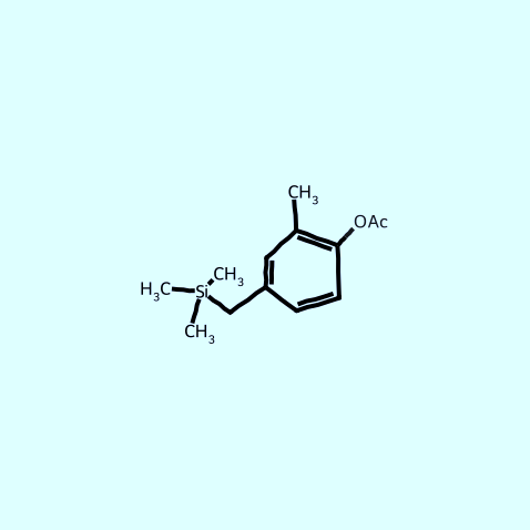 CC(=O)Oc1ccc(C[Si](C)(C)C)cc1C